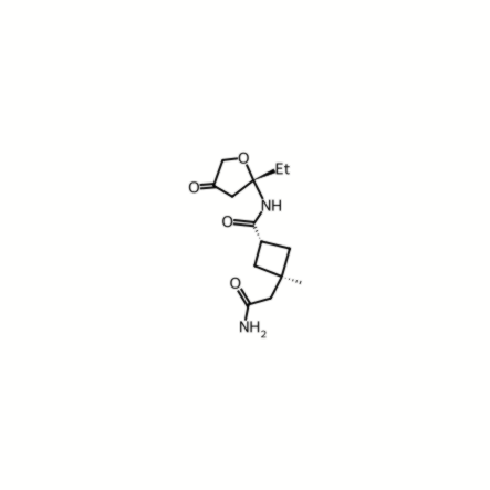 CC[C@@]1(NC(=O)[C@H]2C[C@](C)(CC(N)=O)C2)CC(=O)CO1